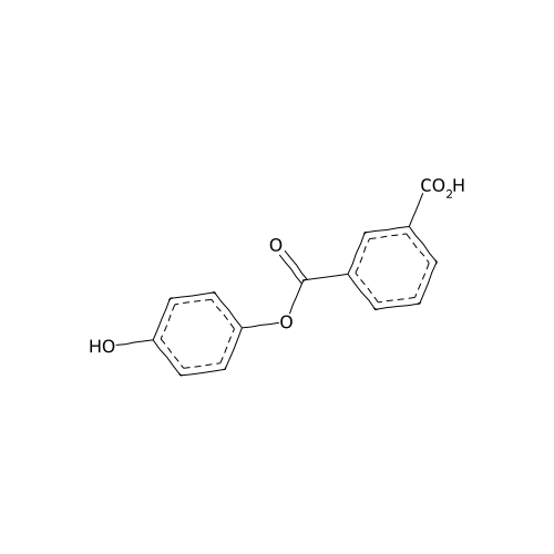 O=C(O)c1cccc(C(=O)Oc2ccc(O)cc2)c1